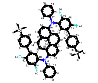 C[Si](C)(C)c1ccc(-c2cc(N(c3ccccc3)c3ccc4ccc5c(N(c6ccccc6)c6cc(-c7ccc([Si](C)(C)C)cc7)c(F)cc6F)ccc6ccc3c4c65)c(F)cc2F)cc1